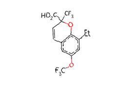 CCc1cc(OC(F)(F)F)cc2c1OC(C(=O)O)(C(F)(F)F)C=C2